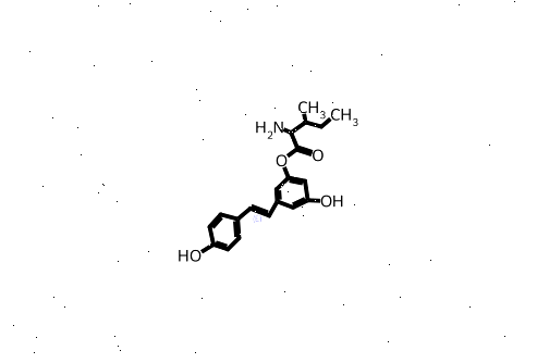 CCC(C)C(N)C(=O)Oc1cc(O)cc(/C=C/c2ccc(O)cc2)c1